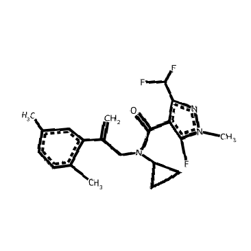 C=C(CN(C(=O)c1c(C(F)F)nn(C)c1F)C1CC1)c1cc(C)ccc1C